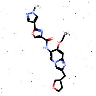 CCOc1cc2nc(CC3CCOC3)cn2cc1NC(=O)c1coc(-c2cnn(C)c2)n1